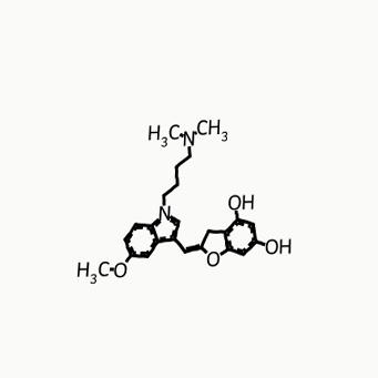 COc1ccc2c(c1)c(C=C1Cc3c(O)cc(O)cc3O1)cn2CCCCN(C)C